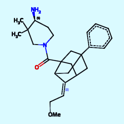 COC/C=C1/C2CC3(c4ccccc4)CC1C(C(=O)N1CC[C@H](N)C(C)(C)C1)(C2)C3